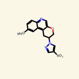 COc1ccc2ncc3c(c2c1)CC(n1cc([N+](=O)[O-])cn1)CO3